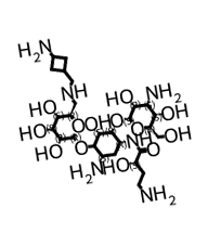 NCC[C@H](O)C(=O)N[C@@H]1C[C@H](N)C(O[C@H]2O[C@H](CNCC3CC(N)C3)[C@@H](O)[C@H](O)[C@H]2O)[C@H](O)[C@H]1O[C@H]1O[C@H](CO)[C@@H](O)[C@H](N)[C@H]1O